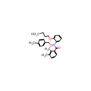 Cc1ccc(CON(C(=O)c2cccc(C)c2C)c2ccccc2OCCCC(=O)O)cc1